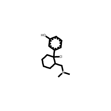 CN(C)CC1CCCCC1(Cl)c1cccc(O)c1